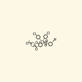 CC(=O)N1CCN(C(=O)c2ccc3n(c2=O)C(c2ccc(Cl)cc2)C(c2ccc(Cl)cc2)N3S(=O)(=O)c2cccc(C#N)c2)CC1